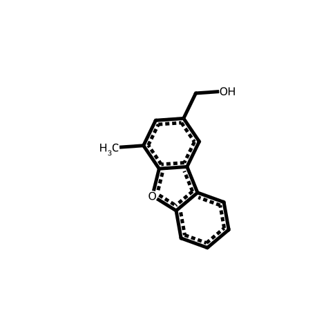 Cc1cc(CO)cc2c1oc1ccccc12